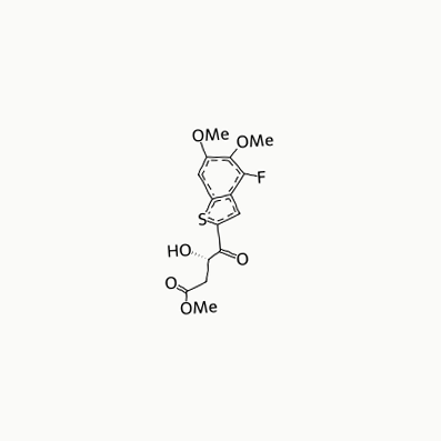 COC(=O)C[C@H](O)C(=O)c1cc2c(F)c(OC)c(OC)cc2s1